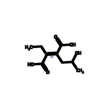 CC/C(C(=O)O)=C(/CC(C)O)C(=O)O